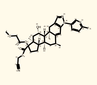 COCC(=O)O[C@]1(C(=O)SCC#N)CC[C@H]2[C@@H]3C[C@H](C)C4=Cc5c(cnn5-c5ccc(F)nc5)C[C@]4(C)[C@H]3[C@@H](O)C[C@@]21C